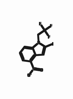 O=[N+]([O-])c1cccc2c1cc(I)n2CC(F)(F)F